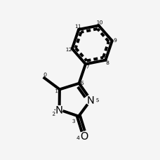 CC1[N]C(=O)N=C1c1ccccc1